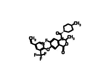 C=Cc1cnc(Oc2cc3c(cc2F)N(C(=O)[C@H]2CC[C@H](C)CC2)C(C)OC3=O)c(C(F)(F)F)c1